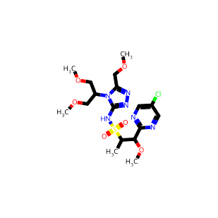 COCc1nnc(NS(=O)(=O)C(C)C(OC)c2ncc(Cl)cn2)n1C(COC)COC